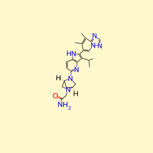 Cc1c(-c2[nH]c3ccc(N4C[C@@H]5C[C@H]4CN5CC(N)=O)nc3c2C(C)C)cn2ncnc2c1C